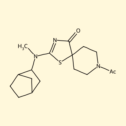 CC(=O)N1CCC2(CC1)SC(N(C)C1CC3CCC1C3)=NC2=O